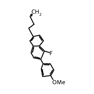 C=CCCc1ccc2c(F)c(-c3ccc(OC)cc3)ccc2c1